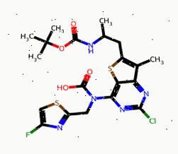 Cc1c(CC(C)NC(=O)OC(C)(C)C)sc2c(N(Cc3nc(F)cs3)C(=O)O)nc(Cl)nc12